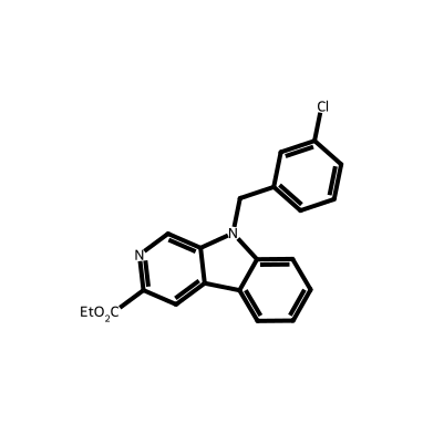 CCOC(=O)c1cc2c3ccccc3n(Cc3cccc(Cl)c3)c2cn1